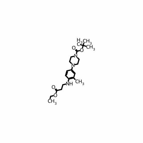 CCOC(=O)CCNc1ccc(N2CCN(C(=O)OC(C)(C)C)CC2)cc1C